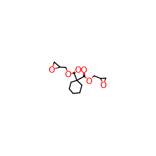 O=C(OCC1CO1)C1(C(=O)OCC2CO2)CCCCC1